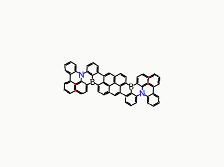 c1ccc(-c2ccccc2N2c3ccccc3B3c4c(cccc42)-c2cc4ccc5c6c(cc7ccc3c2c7c46)-c2cccc3c2B5c2ccccc2N3c2ccccc2-c2ccccc2)cc1